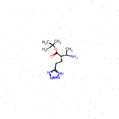 CC(N)[C@@H](CCc1nnn[nH]1)C(=O)OC(C)(C)C